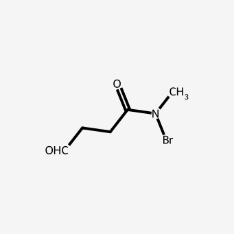 CN(Br)C(=O)CCC=O